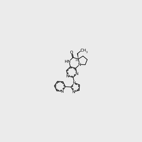 CC[C@@]12CCCN1c1nc(-n3ccnc3-c3ccccn3)ncc1NC2=O